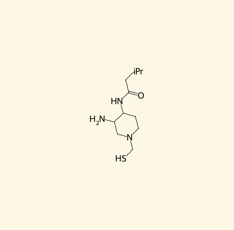 CC(C)CC(=O)NC1CCN(CS)CC1N